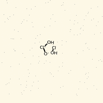 OCl.[O-][Cl+]O